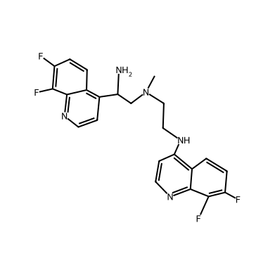 CN(CCNc1ccnc2c(F)c(F)ccc12)CC(N)c1ccnc2c(F)c(F)ccc12